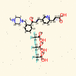 CN1CCN(Cc2ccccc2C(=O)/C=C/c2ccc(/C=C/C(=O)O)nc2)CC1.O=C(O)C(F)(F)F.O=C(O)C(F)(F)F.O=C(O)C(F)(F)F